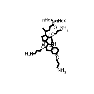 CCCCCCN(CCCCCC)C(=O)CCC(C)C1CC[C@H]2C3[C@H](OCCCN)CC4C[C@H](OCCCN)CC[C@]4(C)[C@H]3C[C@H](OCCCN)[C@]12C